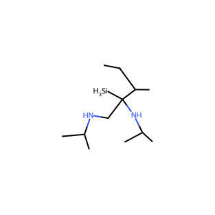 CCC(C)C([SiH3])(CNC(C)C)NC(C)C